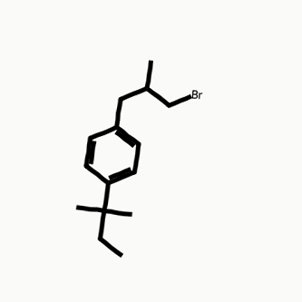 CCC(C)(C)c1ccc(CC(C)CBr)cc1